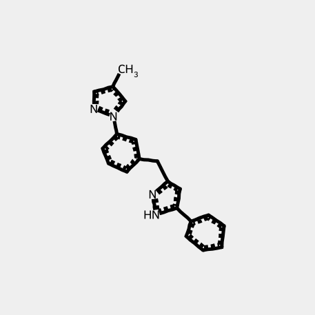 Cc1cnn(-c2cccc(Cc3cc(-c4ccccc4)[nH]n3)c2)c1